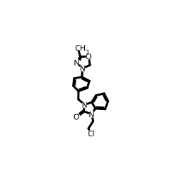 CC1=NN(c2ccc(Cn3c(=O)n(CCCl)c4ccccc43)cc2)CO1